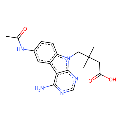 CC(=O)Nc1ccc2c(c1)c1c(N)ncnc1n2CC(C)(C)CC(=O)O